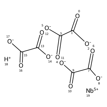 O=C([O-])C(=O)[O-].O=C([O-])C(=O)[O-].O=C([O-])C(=O)[O-].[H+].[Nb+5]